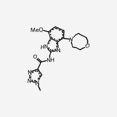 COc1ccc(N2CCOCC2)c2nc(NC(=O)c3cn(C)nn3)[nH]c12